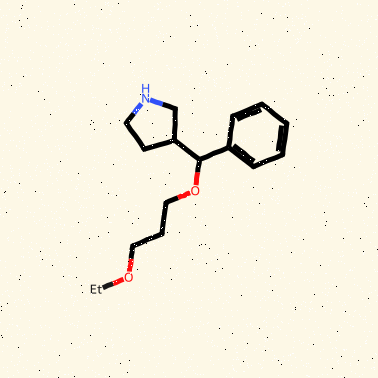 CCOCCCOC(c1ccccc1)C1CCNC1